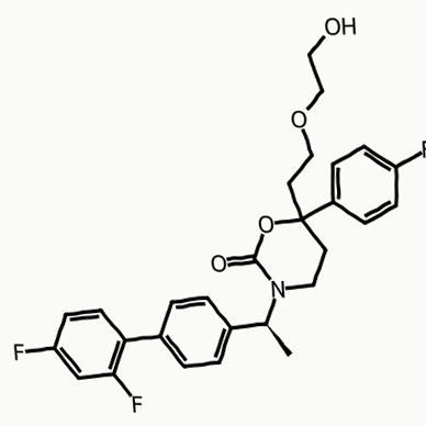 C[C@@H](c1ccc(-c2ccc(F)cc2F)cc1)N1CCC(CCOCCO)(c2ccc(F)cc2)OC1=O